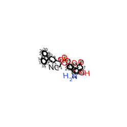 N#CCCOP(=O)(OCC1CCC(c2ccccc2)(c2ccccc2)CC1)Oc1ccc2c3c1OC1C(=O)CCC4(O)C(C2)C(N)CCC314